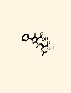 Cc1c(-c2ccccc2)sc(N(C)C=C(SC(C)C)C(=O)O)c1C(=O)O